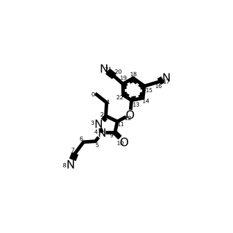 CCC1=NN(CCC#N)C(=O)C1Oc1cc(C#N)cc(C#N)c1